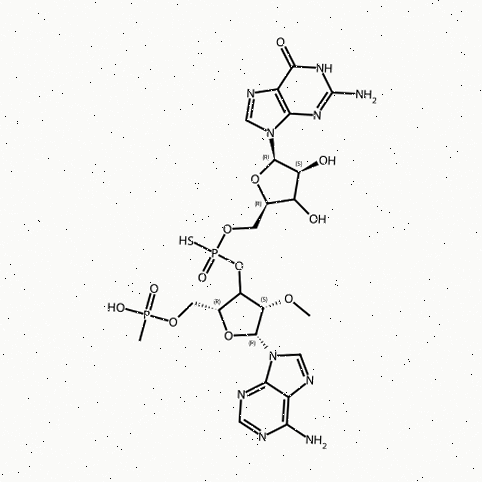 CO[C@H]1C(OP(=O)(S)OC[C@H]2O[C@@H](n3cnc4c(=O)[nH]c(N)nc43)[C@@H](O)C2O)[C@@H](COP(C)(=O)O)O[C@H]1n1cnc2c(N)ncnc21